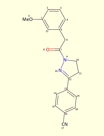 COc1cccc(CC(=O)N2CCC(c3ccc(C#N)cc3)=N2)c1